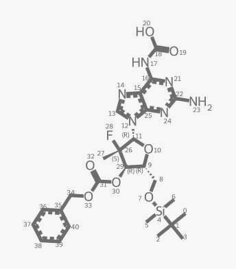 CC(C)(C)[Si](C)(C)OC[C@H]1O[C@@H](n2cnc3c(NC(=O)O)nc(N)nc32)[C@@](C)(F)[C@@H]1OC(=O)OCc1ccccc1